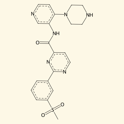 CS(=O)(=O)c1cccc(-c2nccc(C(=O)Nc3cnccc3N3CCNCC3)n2)c1